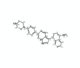 Nc1ccc(-c2cnn3cc(-c4ccc(N5CCNCC5)cc4)cnc23)c2ccccc12